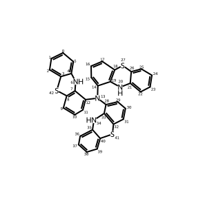 c1ccc2c(c1)Nc1c(cccc1N(c1cccc3c1Nc1ccccc1S3)c1cccc3c1Nc1ccccc1S3)S2